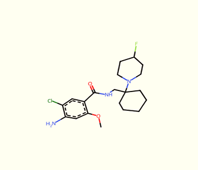 COc1cc(N)c(Cl)cc1C(=O)NCC1(N2CCC(F)CC2)CCCCC1